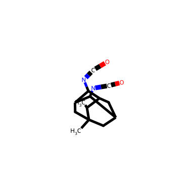 CC1C2CC3CC1(C)CC(C3N=C=O)C2N=C=O